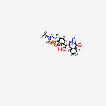 O=c1[nH]nc(C(O)c2ccc(F)c([PH]3(O)CCN(C4CC4)CC3)c2)c2ccccc12